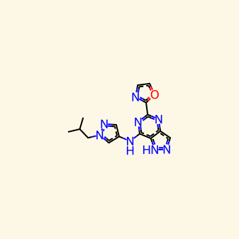 CC(C)Cn1cc(Nc2nc(-c3ncco3)nc3cn[nH]c23)cn1